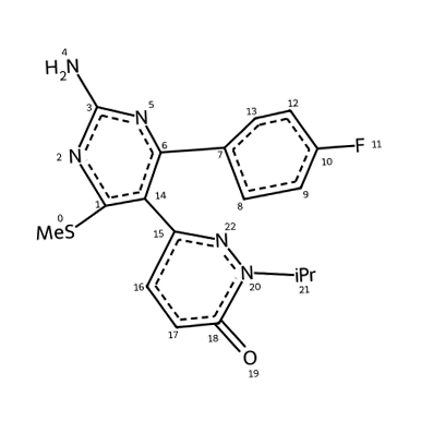 CSc1nc(N)nc(-c2ccc(F)cc2)c1-c1ccc(=O)n(C(C)C)n1